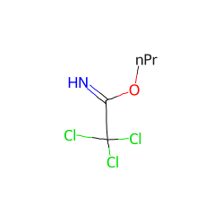 CCCOC(=N)C(Cl)(Cl)Cl